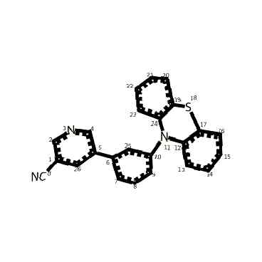 N#Cc1cncc(-c2cccc(N3c4ccccc4Sc4ccccc43)c2)c1